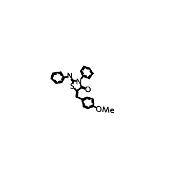 COc1ccc(C=C2SC(=Nc3ccccc3)N(c3ccccc3)C2=O)cc1